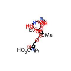 CC[C@H]1OC(=O)[C@H](C)[C@@H](O[C@H]2C[C@@](C)(OC)[C@@H](OCCCOCCCc3ccc4c(c3)c(=O)c(C(=O)O)cn4C(C)C)[C@H](C)O2)[C@H](C)[C@@H](O[C@@H]2O[C@H](C)C[C@H](N(C)C)[C@H]2O)[C@](C)(O)C[C@@H](C)CN(C)[C@H](C)[C@@H](O)[C@]1(C)O